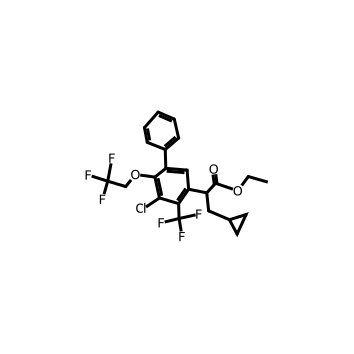 CCOC(=O)C(CC1CC1)c1cc(-c2ccccc2)c(OCC(F)(F)F)c(Cl)c1C(F)(F)F